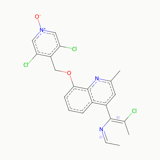 C/C=N\C(=C(/C)Cl)c1cc(C)nc2c(OCc3c(Cl)c[n+]([O-])cc3Cl)cccc12